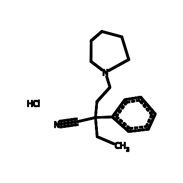 CCC(C#N)(CCN1CCCCC1)c1ccccc1.Cl